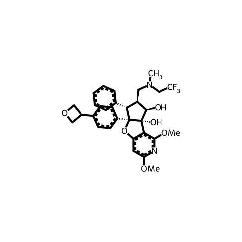 COc1cc2c(c(OC)n1)[C@]1(O)[C@H](O)[C@H](CN(C)CC(F)(F)F)[C@@H](c3ccccc3)[C@]1(c1ccc(C3COC3)cc1)O2